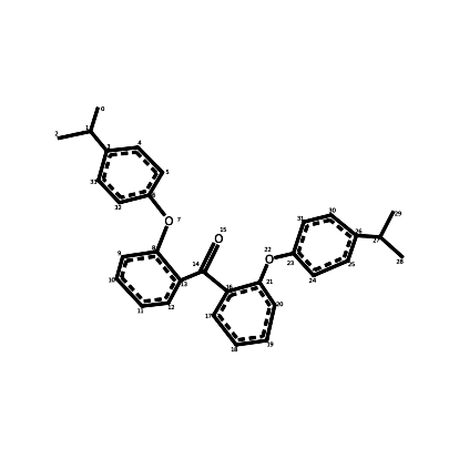 CC(C)c1ccc(Oc2ccccc2C(=O)c2ccccc2Oc2ccc(C(C)C)cc2)cc1